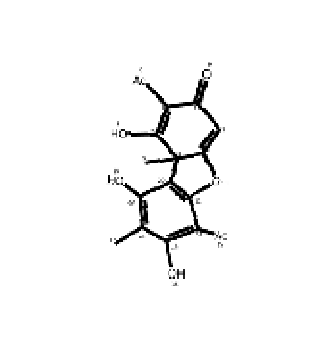 CC(=O)C1=C(O)C2(C)C(=CC1=O)Oc1c(C(C)=O)c(O)c(C)c(O)c12